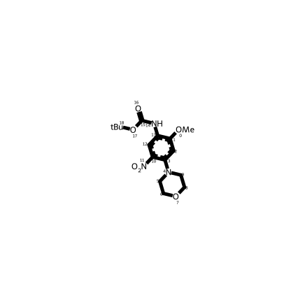 COc1cc(N2CCOCC2)c([N+](=O)[O-])cc1NC(=O)OC(C)(C)C